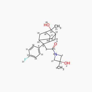 CC1(O)CN(C(=O)CC2(c3ccc(F)cc3)C3CC4CC2CC(C3)C4(C)O)C1